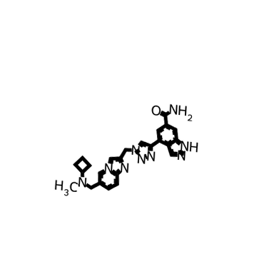 CN(Cc1ccc2nc(Cn3cc(-c4cc(C(N)=O)cc5[nH]ncc45)nn3)cn2c1)C1CCC1